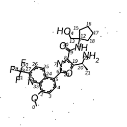 COc1ccc(-c2nc(C(=O)NC3(CO)CCCC3)c([C@H](C)N)o2)c2ccc(C(F)(F)F)nc12